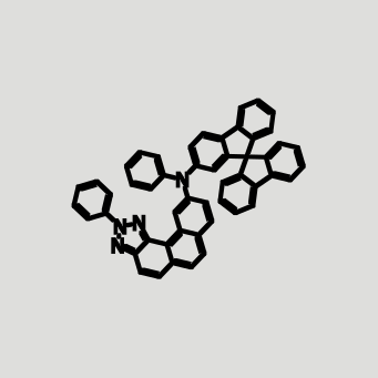 c1ccc(N(c2ccc3c(c2)C2(c4ccccc4-c4ccccc42)c2ccccc2-3)c2ccc3ccc4ccc5nn(-c6ccccc6)nc5c4c3c2)cc1